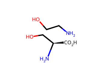 NCCO.N[C@@H](CO)C(=O)O